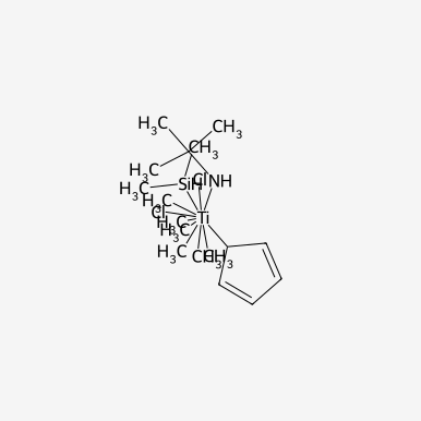 C[SiH](C)[Ti]([CH3])([CH3])([CH3])([CH3])([CH3])([CH3])([Cl])([Cl])([NH]C(C)(C)C)[CH]1C=CC=C1